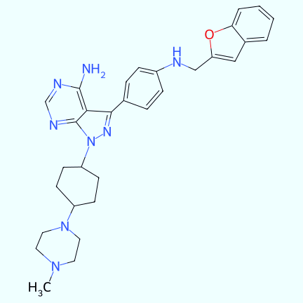 CN1CCN(C2CCC(n3nc(-c4ccc(NCc5cc6ccccc6o5)cc4)c4c(N)ncnc43)CC2)CC1